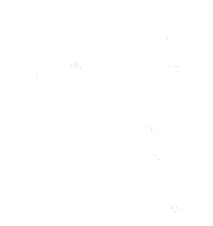 COC1CCN(C(=O)Nc2cc(OC(C)C(F)(F)F)c(C(=O)Nc3c(F)cccc3Cl)cc2F)C1